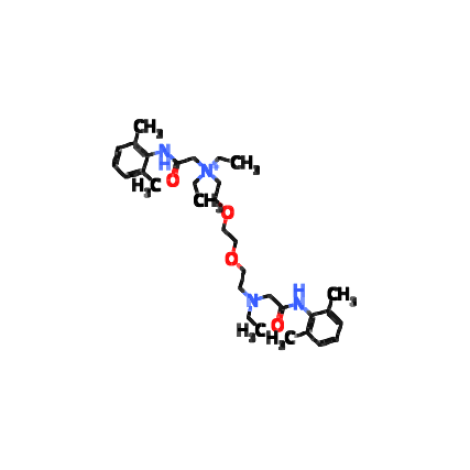 CCN(CCOCCOCC[N+](CC)(CC)CC(=O)Nc1c(C)cccc1C)CC(=O)Nc1c(C)cccc1C